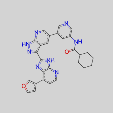 O=C(Nc1cncc(-c2cnc3[nH]nc(-c4nc5c(-c6ccoc6)ccnc5[nH]4)c3c2)c1)C1CCCCC1